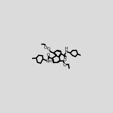 CCOOCc1ccc(C(=O)NC2CCC(C)CC2)c2c(C(=O)OCC)ccc(C(=O)NC3CCC(C)CC3)c12